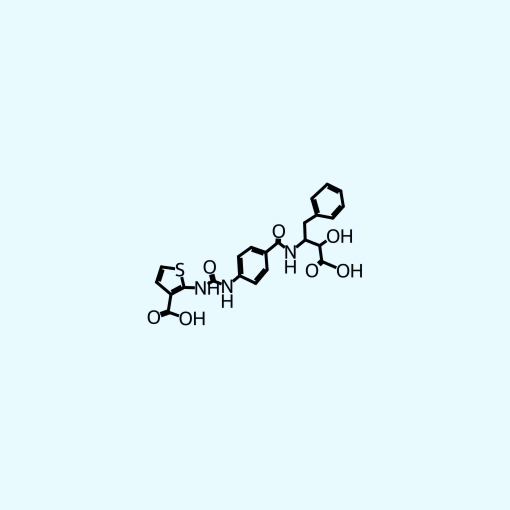 O=C(Nc1ccc(C(=O)NC(Cc2ccccc2)C(O)C(=O)O)cc1)Nc1sccc1C(=O)O